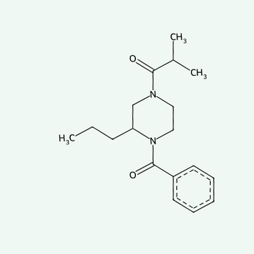 CCCC1CN(C(=O)C(C)C)CCN1C(=O)c1ccccc1